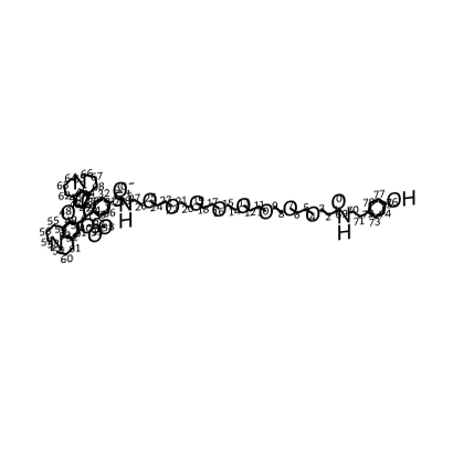 O=C(CCOCCOCCOCCOCCOCCOCCOCCOCCN[S+]([O-])c1ccc2c(c1)S(=O)(=O)OC21c2cc3c4c(c2Oc2c1cc1c5c2CCCN5CCC1)CCCN4CCC3)NCCc1ccc(O)cc1